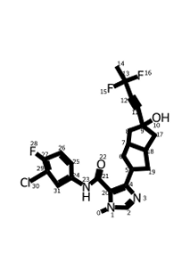 Cn1cnc(C2CC3CC(O)(C#CC(C)(F)F)CC3C2)c1C(=O)Nc1ccc(F)c(Cl)c1